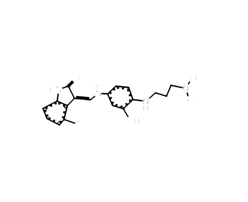 Cc1cc(N/C=C2\C(=O)Nc3cccc(F)c32)ccc1NCCCN(C)C